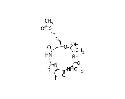 C=C1NC(=O)c2nc(ccc2F)CNC(=O)C[C@@H](/C=C/CCSC(C)=O)OC(O)[C@H](C)NC1=O